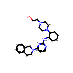 OCCN1CCN(C2CCCCC2Nc2nccc(N3CCc4ccccc4C3)n2)CC1